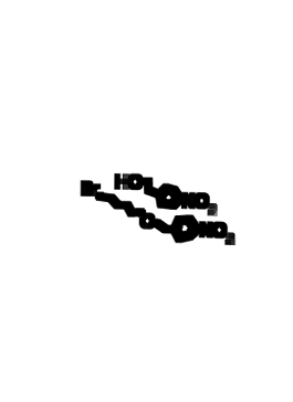 O=[N+]([O-])c1ccc(CCO)cc1.O=[N+]([O-])c1ccc(CCOCCCCCCBr)cc1